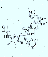 CN(Cc1ccc(NC(=O)c2cc(-c3ccn(C)n3)c(C(F)(F)F)cc2F)c(-c2ccccc2)n1)C(=O)NCCO